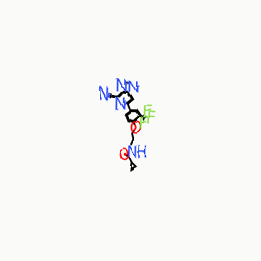 Cn1cnc2c(C#N)nc(-c3ccc(OCCCNC(=O)C4CC4)c(C(F)(F)F)c3)cc21